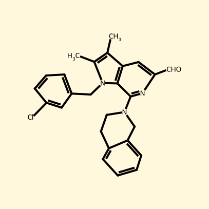 Cc1c(C)n(Cc2cccc(Cl)c2)c2c(N3CCc4ccccc4C3)nc(C=O)cc12